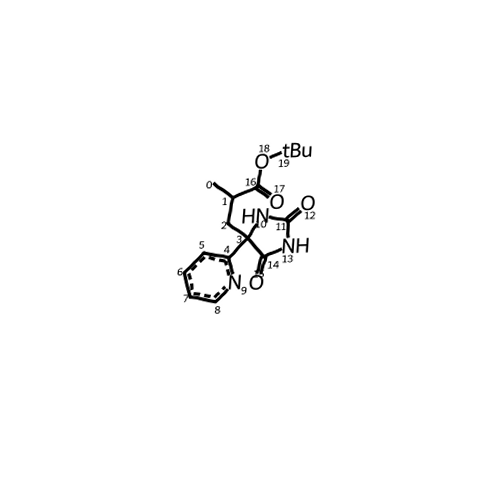 CC(CC1(c2ccccn2)NC(=O)NC1=O)C(=O)OC(C)(C)C